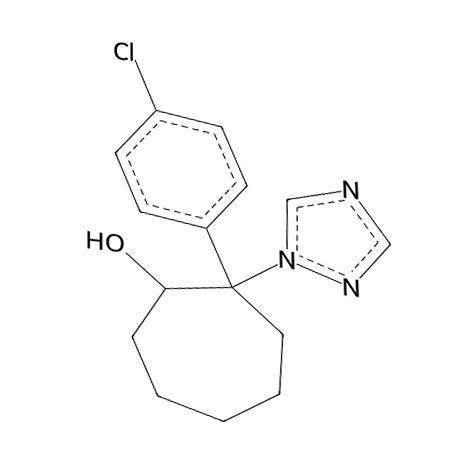 OC1CCCCCC1(c1ccc(Cl)cc1)n1cncn1